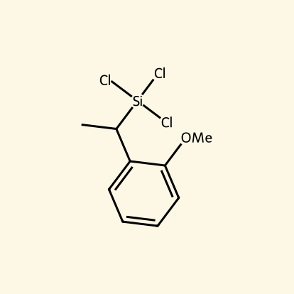 COc1ccccc1C(C)[Si](Cl)(Cl)Cl